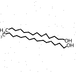 CCCCCCCCCCCCCCCO.CCCCCCCCCCCCCCO